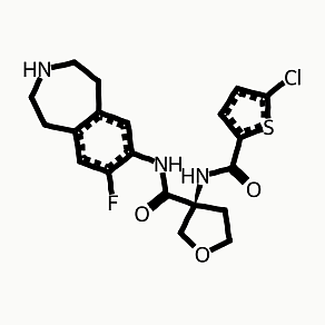 O=C(N[C@@]1(C(=O)Nc2cc3c(cc2F)CCNCC3)CCOC1)c1ccc(Cl)s1